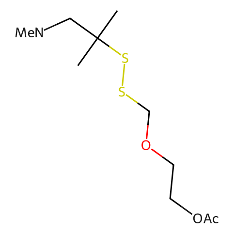 CNCC(C)(C)SSCOCCOC(C)=O